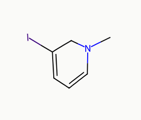 CN1C=CC=C(I)C1